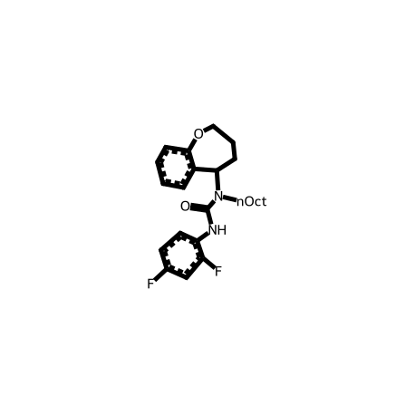 CCCCCCCCN(C(=O)Nc1ccc(F)cc1F)C1CCCOc2ccccc21